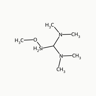 CO[SiH2]C(N(C)C)N(C)C